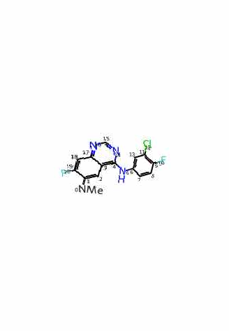 CNc1cc2c(Nc3ccc(F)c(Cl)c3)ncnc2cc1F